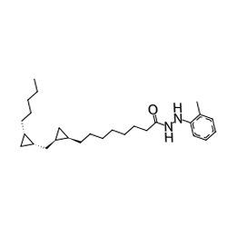 CCCCC[C@H]1C[C@H]1C[C@H]1C[C@H]1CCCCCCCC(=O)NNc1ccccc1C